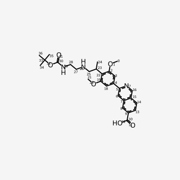 COc1cc(-c2cc3cc(C(=O)O)ccc3cn2)cc(OC)c1C(C)CNCCNC(=O)OC(C)(C)C